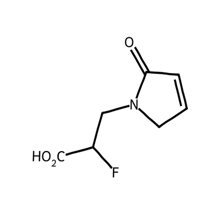 O=C(O)C(F)CN1CC=CC1=O